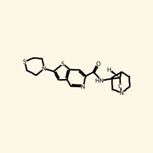 O=C(N[C@H]1CN2CCC1CC2)c1cc2sc(N3CCSCC3)cc2cn1